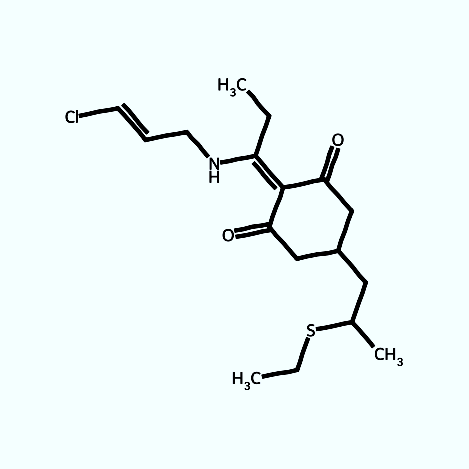 CCSC(C)CC1CC(=O)C(=C(CC)NCC=CCl)C(=O)C1